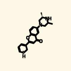 CC1CN(c2ccc3oc(C4=CC=CPC4)cc(=O)c3c2)C[C@H](C)N1